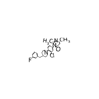 Cc1cc(=O)n(-c2ccc(N3CCC(Cc4cccc(F)c4)CC3)c(Cl)c2)c(C)n1